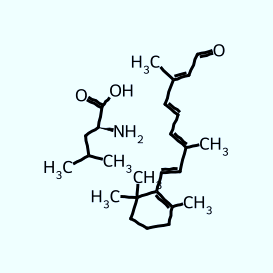 CC(C)C[C@H](N)C(=O)O.CC(C=CC=C(C)C=CC1=C(C)CCCC1(C)C)=CC=O